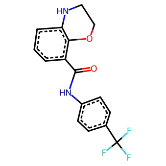 O=C(Nc1ccc(C(F)(F)F)cc1)c1cccc2c1OCCN2